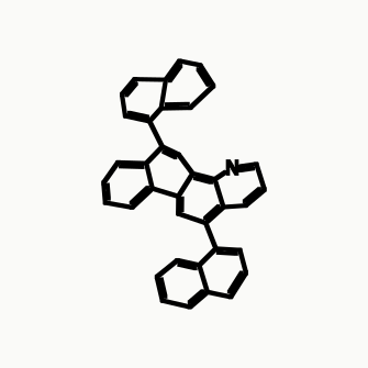 c1ccc2c(-c3cc4c(cc(-c5cccc6ccccc56)c5cccnc54)c4ccccc34)cccc2c1